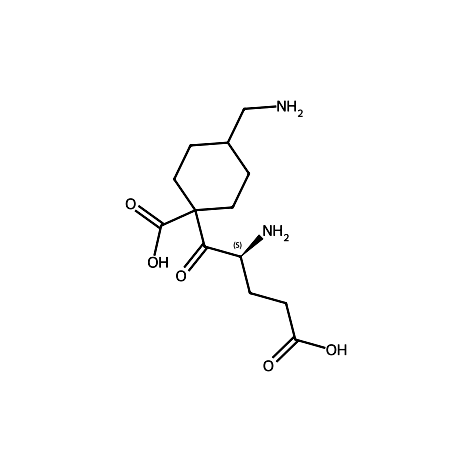 NCC1CCC(C(=O)O)(C(=O)[C@@H](N)CCC(=O)O)CC1